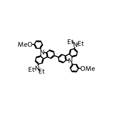 CCN(CC)c1ccc2c(c1)c1cc(-c3ccc4c(c3)c3cc(N(CC)CC)ccc3n4-c3cccc(OC)c3)ccc1n2-c1cccc(OC)c1